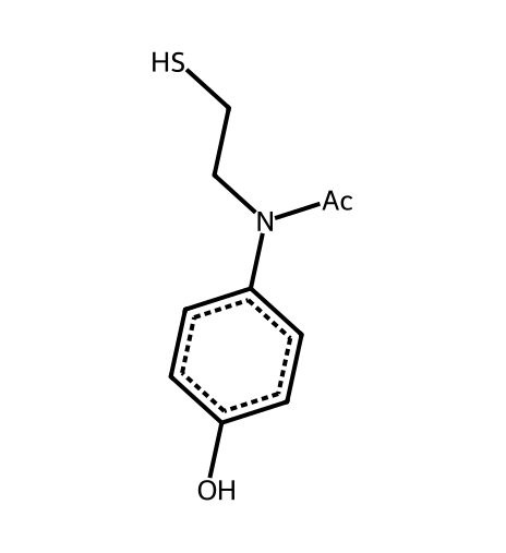 CC(=O)N(CCS)c1ccc(O)cc1